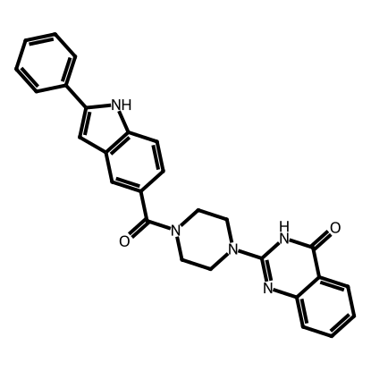 O=C(c1ccc2[nH]c(-c3ccccc3)cc2c1)N1CCN(c2nc3ccccc3c(=O)[nH]2)CC1